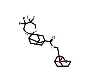 O=C(OCC1COC2CC3CC(C2)CC(C3)O1)C12CC3CC(C1)C1(OCC(F)(F)C(F)(F)CO1)C(C3)C2